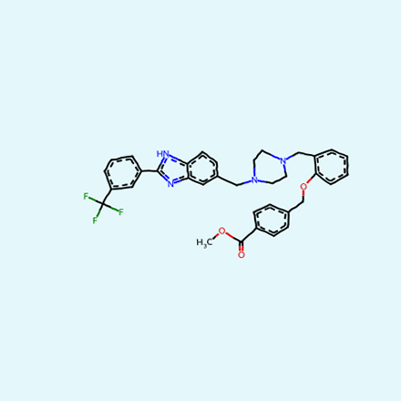 COC(=O)c1ccc(COc2ccccc2CN2CCN(Cc3ccc4[nH]c(-c5cccc(C(F)(F)F)c5)nc4c3)CC2)cc1